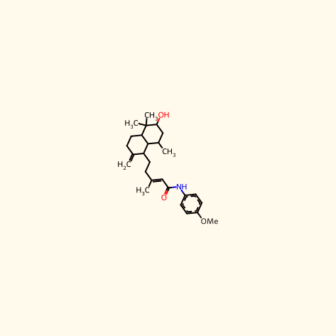 C=C1CCC2C(C(C)CC(O)C2(C)C)C1CCC(C)=CC(=O)Nc1ccc(OC)cc1